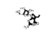 CCc1cn([C@@H]2O[C@H](CO)C(O)[C@@H]2O)c2nc(N)[nH]c(=O)c12